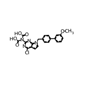 COc1cccc(-c2ccc(Cn3ccc4c(Cl)nc(N(C(=O)O)C(=O)O)nc43)cc2)c1